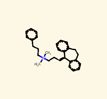 C[N+](C)(CCC=C1c2ccccc2CCc2ccccc21)CCCc1ccccc1